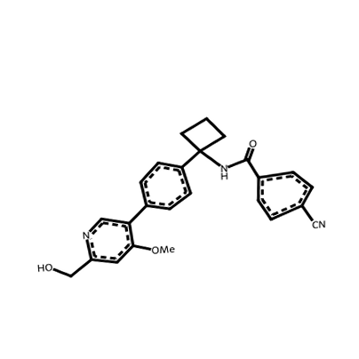 COc1cc(CO)ncc1-c1ccc(C2(NC(=O)c3ccc(C#N)cc3)CCC2)cc1